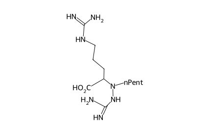 CCCCCN(NC(=N)N)C(CCCNC(=N)N)C(=O)O